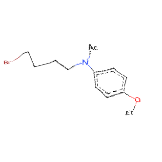 CCOc1ccc(N(CCCCBr)C(C)=O)cc1